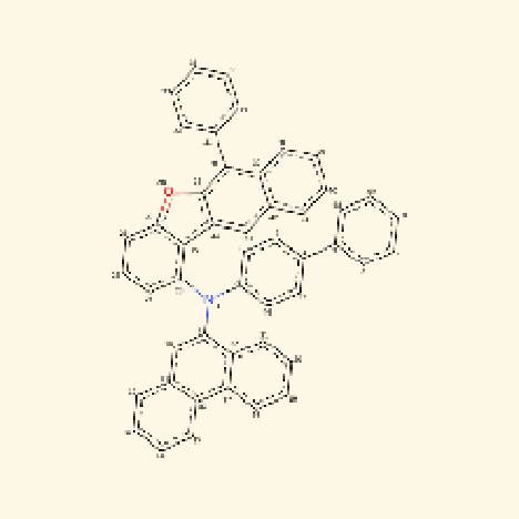 c1ccc(-c2ccc(N(c3cc4ccccc4c4ccccc34)c3cccc4oc5c(-c6ccccc6)c6ccccc6cc5c34)cc2)cc1